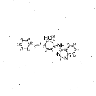 C(#Cc1ccc(Nc2ncnc3ccccc23)cc1)c1ccccc1.Cl